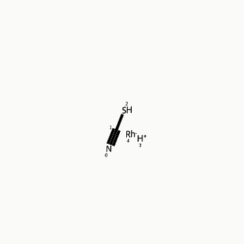 N#CS.[H+].[Rh]